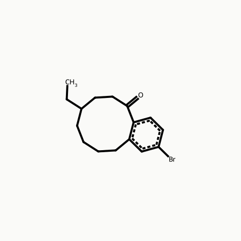 CCC1CCCCc2cc(Br)ccc2C(=O)CC1